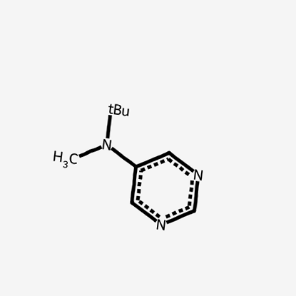 CN(c1cncnc1)C(C)(C)C